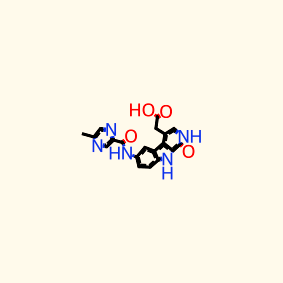 Cc1cnc(C(=O)Nc2ccc3[nH]c4c(=O)[nH]cc(CC(=O)O)c4c3c2)cn1